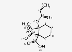 C=CC(=O)OC1(CC)CCCCC1(C(=O)O)C(=O)O